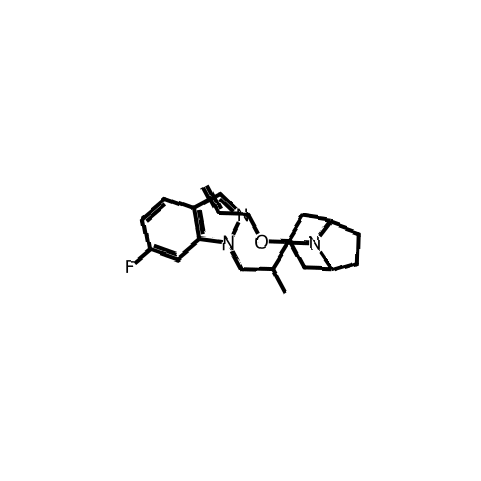 C=CCOC1CC2CCC(C1)N2CC(C)Cn1ncc2ccc(F)cc21